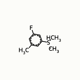 Cc1cc(F)cc([SH](C)C)c1